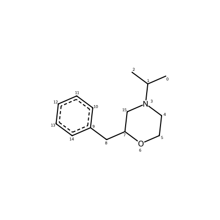 CC(C)N1CCOC(Cc2ccccc2)C1